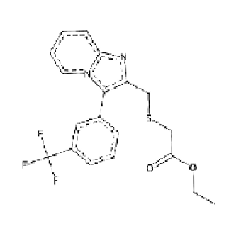 CCOC(=O)CSCc1nc2ccccn2c1-c1cccc(C(F)(F)F)c1